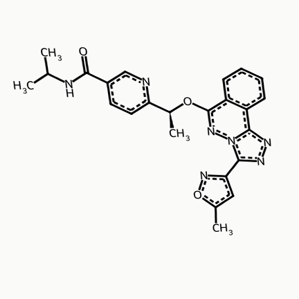 Cc1cc(-c2nnc3c4ccccc4c(O[C@@H](C)c4ccc(C(=O)NC(C)C)cn4)nn23)no1